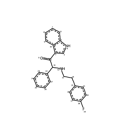 O=C(c1c[nH]c2ccccc12)C(NCCc1ccc(F)cc1)c1ccccc1